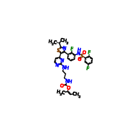 C/C=C(/C)OC(=O)NCCCNc1nccc(-c2sc(C(C)C)nc2-c2cccc(NS(=O)(=O)c3cc(F)ccc3F)c2F)n1